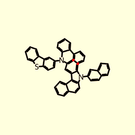 c1ccc(-c2ccccc2N(c2ccc3sc4ccccc4c3c2)c2ccc3c(c2)c2c4ccccc4ccc2n3-c2ccc3ccccc3c2)cc1